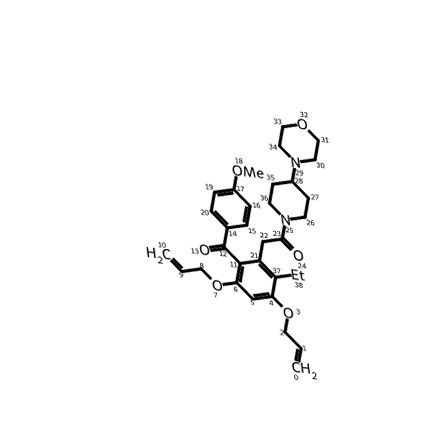 C=CCOc1cc(OCC=C)c(C(=O)c2ccc(OC)cc2)c(CC(=O)N2CCC(N3CCOCC3)CC2)c1CC